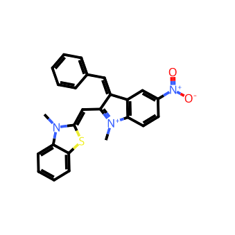 CN1/C(=C/C2=[N+](C)c3ccc([N+](=O)[O-])cc3/C2=C/c2ccccc2)Sc2ccccc21